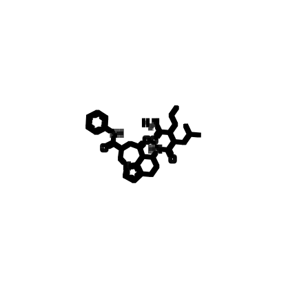 CCCC(C(N)=O)C(CC(C)C)C(=O)NC1CCc2ccn3c2C1C(=O)CC(C(=O)Nc1ccccc1)C3